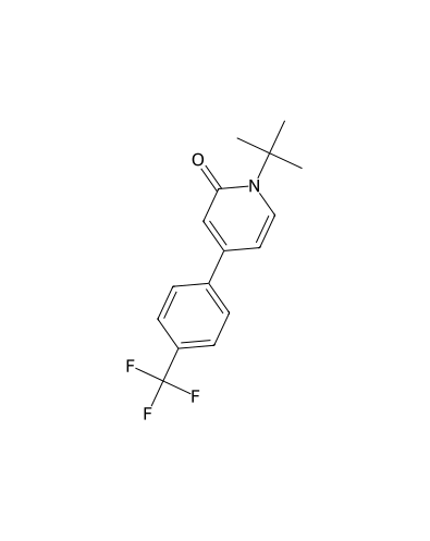 CC(C)(C)n1ccc(-c2ccc(C(F)(F)F)cc2)cc1=O